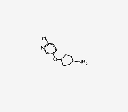 NC1CCC(Oc2ccc(Cl)nc2)CC1